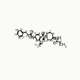 C=CC(=O)NC1CCCN(S(=O)(=O)c2ccc(NC(=O)CCc3ccccc3)cc2OC)CC1